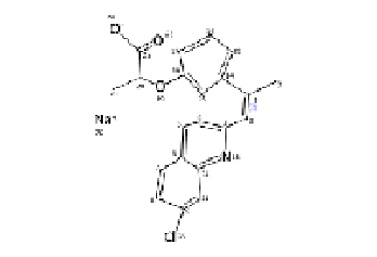 C/C(=C/c1ccc2ccc(Cl)cc2n1)c1cccc(OC(C)C(=O)[O-])c1.[Na+]